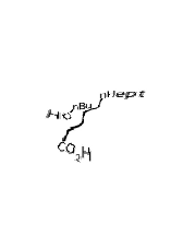 CCCCCCCCCCCC(=O)O.CCCCO